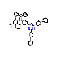 Cc1cc(C(C)(C)C)cc(-c2ccccc2)c1N(c1c(-c2ccccc2)cc(-c2nc(-c3ccc(-c4ccccc4)cc3)nc(-c3ccc(-c4ccccc4)cc3)n2)cc1-c1ccccc1)C1C=C[C@@]1(C)C(C)C